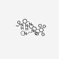 C=CC(=O)Nc1cccc(C)c1Nc1cc2c(cn1)cc(-c1c(Cl)c(OC)cc(OC)c1Cl)c(=O)n2CCCN1CCCCC1